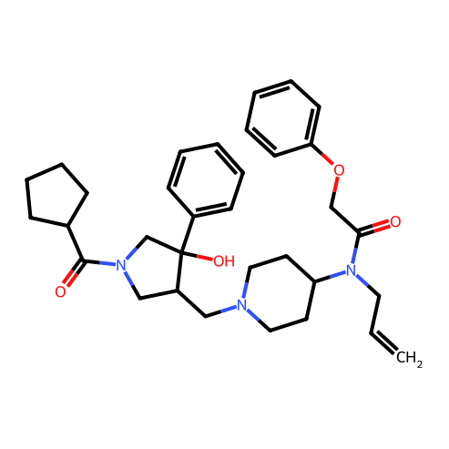 C=CCN(C(=O)COc1ccccc1)C1CCN(CC2CN(C(=O)C3CCCC3)CC2(O)c2ccccc2)CC1